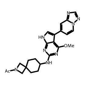 COc1nc(NC2CCC3(CC2)CN(C(C)=O)C3)nc2[nH]cc(-c3ccn4ncnc4c3)c12